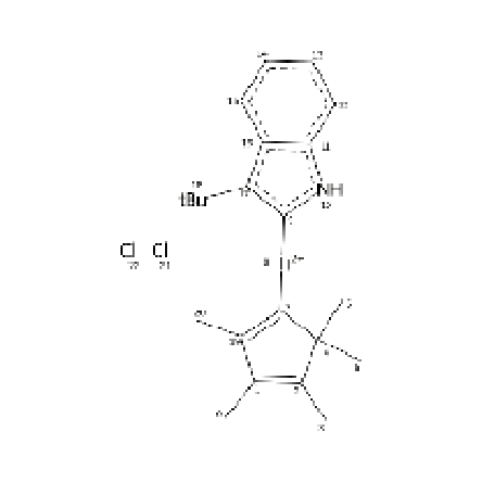 CC1=C(C)C(C)(C)[C]([Ti+2][c]2[nH]c3ccccc3c2C(C)(C)C)=C1C.[Cl-].[Cl-]